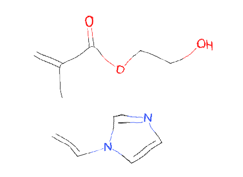 C=C(C)C(=O)OCCO.C=Cn1ccnc1